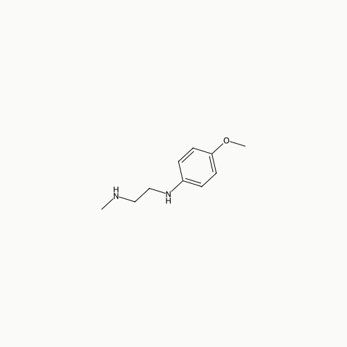 CNCCNc1ccc(OC)cc1